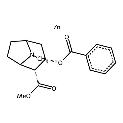 COC(=O)[C@@H]1C2CCC(C[C@@H]1OC(=O)c1ccccc1)N2C.[Zn]